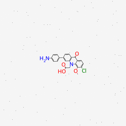 COc1c(Cl)ccc2c(=O)c3ccc(-c4ccc(N)cc4)cc3n(CC(=O)O)c12